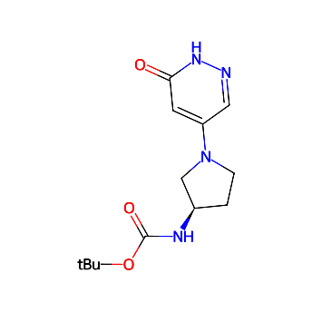 CC(C)(C)OC(=O)N[C@@H]1CCN(c2cn[nH]c(=O)c2)C1